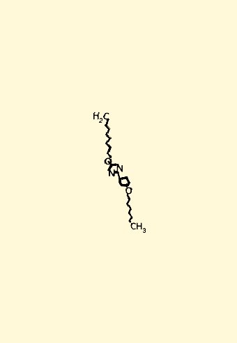 C=CCCCCCCCCOc1cnc(-c2ccc(OCCCCCCCC)cc2)nc1